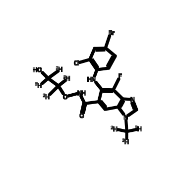 [2H]C([2H])([2H])n1cnc2c(F)c(Nc3ccc(Br)cc3Cl)c(C(=O)NOC([2H])([2H])C([2H])([2H])O)cc21